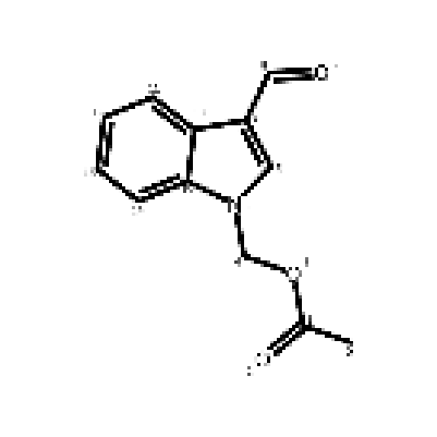 CC(=O)OCn1cc(C=O)c2ccccc21